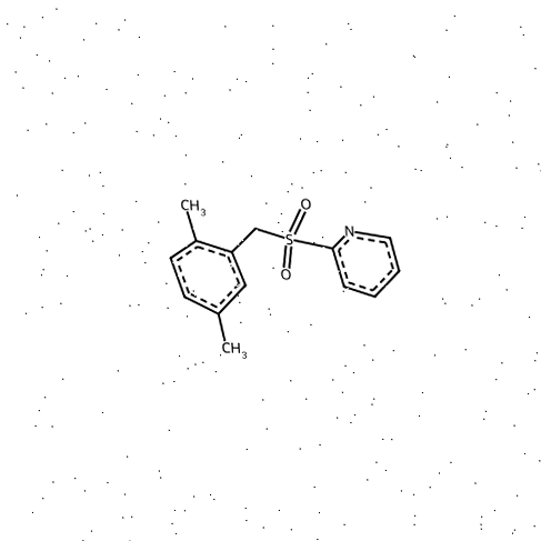 Cc1ccc(C)c(CS(=O)(=O)c2ccccn2)c1